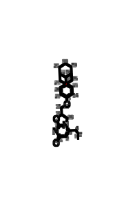 O=c1cc(CF)n2c(n1)OC(COc1ccc(C3C4CCCC3CCC4)cc1)C2